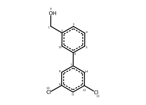 OCc1cccc(-c2cc(Cl)cc(Cl)c2)c1